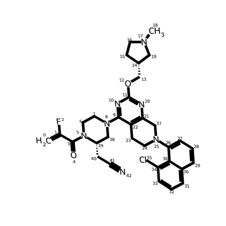 C=C(F)C(=O)N1CCN(c2nc(OC[C@@H]3CCN(C)C3)nc3c2CCN(c2cccc4cccc(Cl)c24)C3)C[C@@H]1CC#N